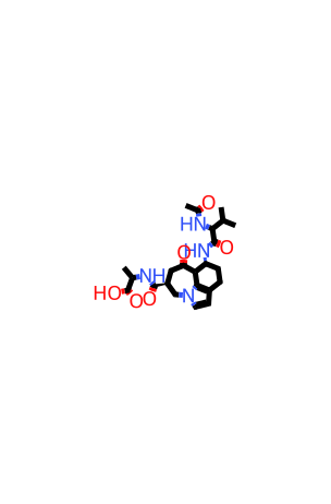 CC(=O)NC(C(=O)N[C@H]1CCc2ccn3c2C1C(=O)C[C@H](C(=O)NC(C)C(=O)O)C3)C(C)C